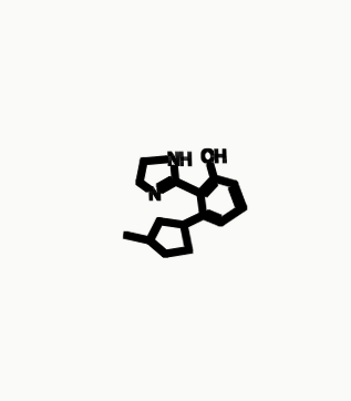 CC1CCC(c2cccc(O)c2C2=NCCN2)C1